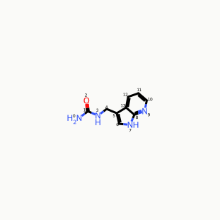 NC(=O)NCc1c[nH]c2ncccc12